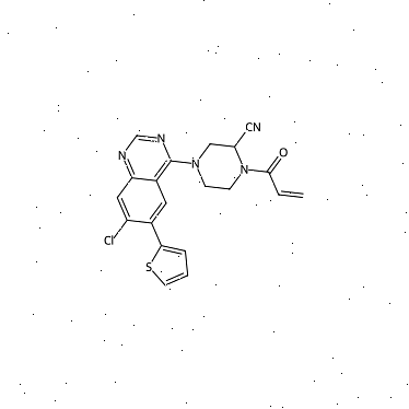 C=CC(=O)N1CCN(c2ncnc3cc(Cl)c(-c4cccs4)cc23)CC1C#N